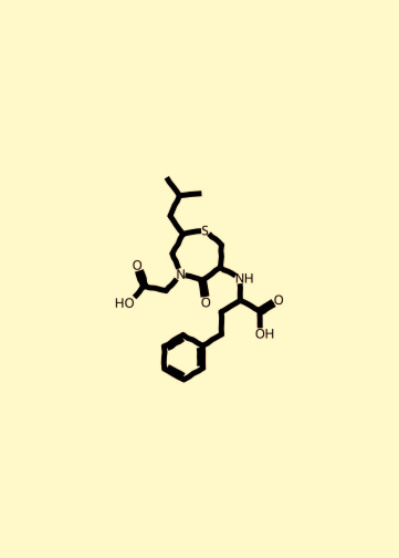 CC(C)CC1CN(CC(=O)O)C(=O)C(NC(CCc2ccccc2)C(=O)O)CS1